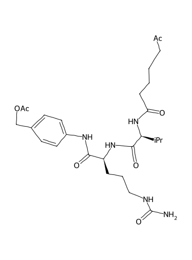 CC(=O)CCCCC(=O)N[C@H](C(=O)N[C@@H](CCCNC(N)=O)C(=O)Nc1ccc(COC(C)=O)cc1)C(C)C